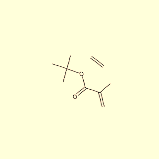 C=C.C=C(C)C(=O)OC(C)(C)C